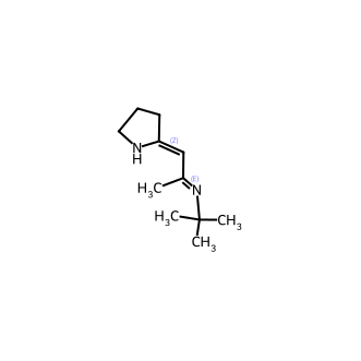 CC(/C=C1/CCCN1)=N\C(C)(C)C